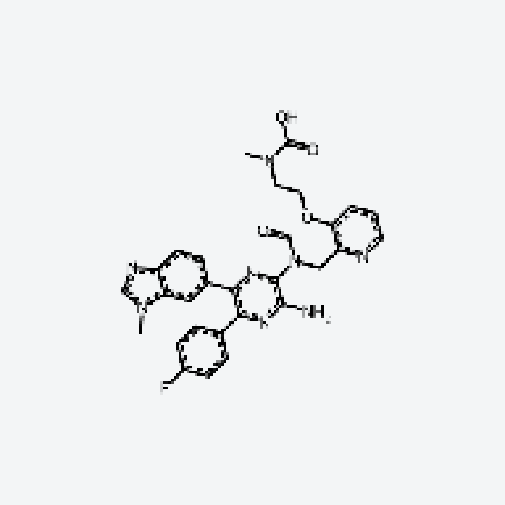 CN(CCOc1cccnc1CN(C=O)c1nc(-c2ccc3ncn(C)c3c2)c(-c2ccc(F)cc2)nc1N)C(=O)O